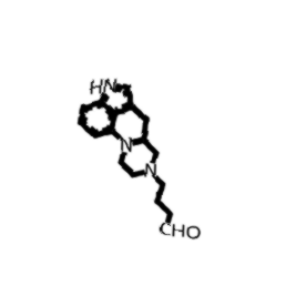 O=CCCCN1CCN2c3cccc4[nH]cc(c34)CC2C1